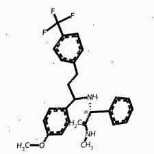 C=C(NC)[C@H](NC(CCc1ccc(C(F)(F)F)cc1)c1ccc(OC)cc1)c1ccccc1